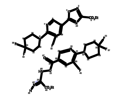 CCOC(=O)c1noc(-c2cnc(N3CCC(F)(F)CC3)c(F)c2)n1.[H]/N=C(/NOC(=O)c1cnc(N2CCC(F)(F)CC2)c(F)c1)C(=O)OCC